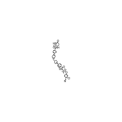 CC1(C)[C@H](NC(=O)c2ccc(N3CCC(CN4CCN(c5ccc(C(=O)NC6CCC(=O)NC6=O)cc5)CC4)CC3)nn2)C(C)(C)[C@H]1Oc1ccc(C#N)c(Cl)c1